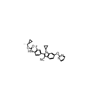 C[C@@H](OC(=O)Nc1ccc(-c2c(C#N)c3ccc(Oc4ncccn4)cc3n2C2CC2)cc1F)C1CC1